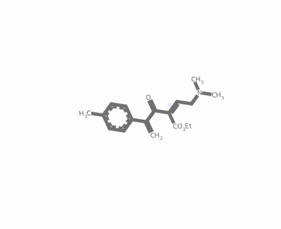 C=C(C(=O)/C(=C/CN(C)C)C(=O)OCC)c1ccc(C)cc1